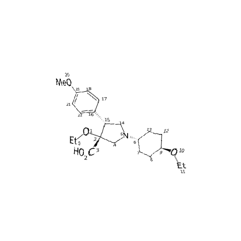 CCO[C@@]1(C(=O)O)CN([C@H]2CC[C@H](OCC)CC2)C[C@H]1c1ccc(OC)cc1